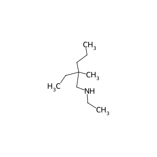 CCCC(C)(CC)CNCC